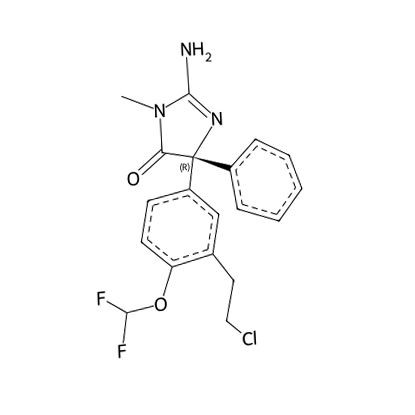 CN1C(=O)[C@@](c2ccccc2)(c2ccc(OC(F)F)c(CCCl)c2)N=C1N